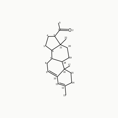 CC(=O)C1CCC2C3CC=C4C=C(C)CCC4(C)C3CCC12C